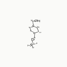 C[Si](C)(C)OCC1CCC(CO)CC1